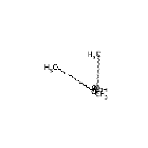 CCC=CCC=CCC=CCC=CCC=CCC=CCCC(=O)OC(C)C(O)OCCCCCCCCCCCCCCCC